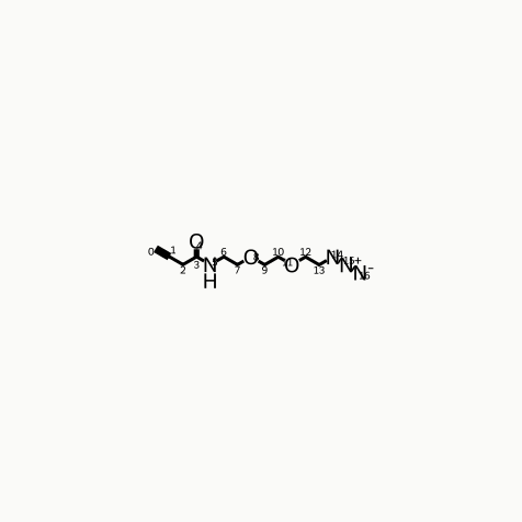 C#CCC(=O)NCCOCCOCCN=[N+]=[N-]